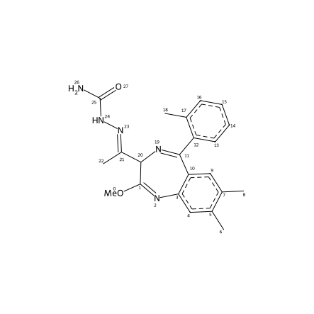 COC1=Nc2cc(C)c(C)cc2C(c2ccccc2C)=NC1/C(C)=N/NC(N)=O